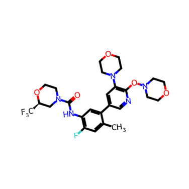 Cc1cc(F)c(NC(=O)N2CCO[C@H](C(F)(F)F)C2)cc1-c1cnc(ON2CCOCC2)c(N2CCOCC2)c1